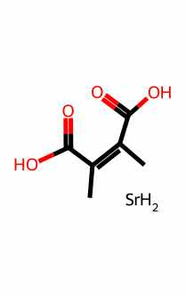 C/C(C(=O)O)=C(\C)C(=O)O.[SrH2]